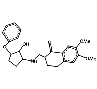 COc1cc2c(cc1OC)C(=O)C(CNC1CCC(Oc3ccccc3)C1O)CC2